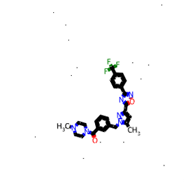 Cc1cc(-c2nc(-c3ccc(C(F)(F)F)cc3)no2)nn1Cc1cccc(C(=O)N2CCN(C)CC2)c1